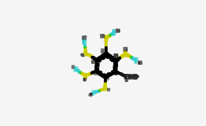 O=[C]c1c(SF)c(SF)c(SF)c(SF)c1SF